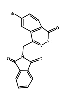 O=C1c2ccccc2C(=O)N1Cc1n[nH]c(=O)c2ccc(Br)cc12